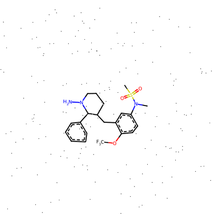 CN(c1ccc(OC(F)(F)F)c(CC2CCCN(N)C2c2ccccc2)c1)S(C)(=O)=O